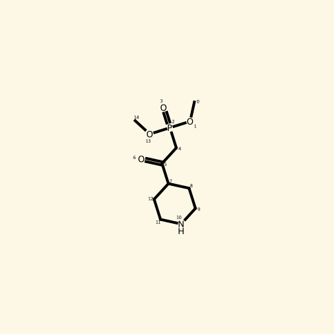 COP(=O)(CC(=O)C1CCNCC1)OC